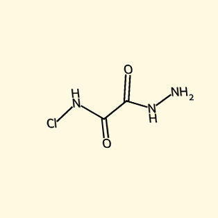 NNC(=O)C(=O)NCl